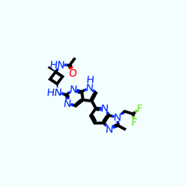 CC(=O)N[C@]1(C)C[C@H](Nc2ncc3c(-c4ccc5nc(C)n(CC(F)F)c5n4)c[nH]c3n2)C1